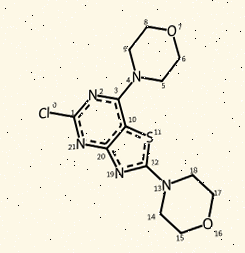 Clc1nc(N2CCOCC2)c2sc(N3CCOCC3)nc2n1